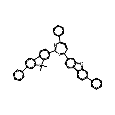 C[Si]1(C)c2cc(C3=NC(c4ccccc4)=C=CC(c4ccc5c(c4)oc4cc(-c6ccccc6)ccc45)=N3)ccc2-c2ccc(-c3ccccc3)cc21